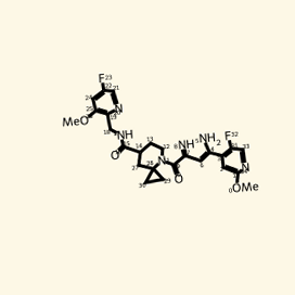 COc1cc(/C(N)=C/C(=N)C(=O)N2CCC(C(=O)NCc3ncc(F)cc3OC)CC23CC3)c(F)cn1